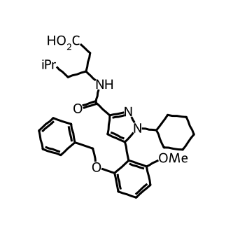 COc1cccc(OCc2ccccc2)c1-c1cc(C(=O)NC(CC(=O)O)CC(C)C)nn1C1CCCCC1